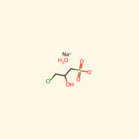 O.O=S(=O)([O-])CC(O)CCl.[Na+]